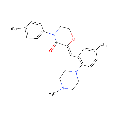 Cc1ccc(N2CCN(C)CC2)c(C=C2OCCN(c3ccc(C(C)(C)C)cc3)C2=O)c1